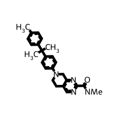 CNC(=O)c1ncc2c(n1)CN(c1ccc(C(C)(C)c3ccc(C)cc3)cc1)CC2